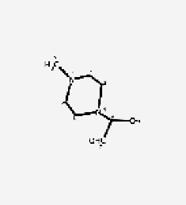 CN1CCN(C([O])C=O)CC1